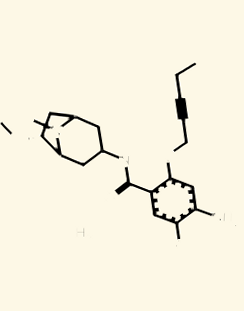 CCC#CCOc1cc(N)c(Cl)cc1C(=O)NC1CC2C[C@@H](OC)C(C1)N2C.Cl